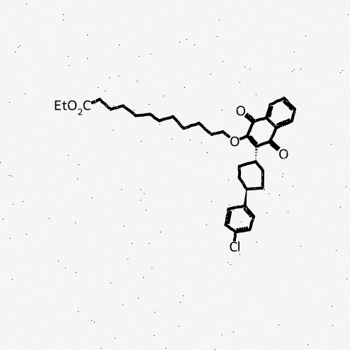 CCOC(=O)CCCCCCCCCCCOC1=C([C@H]2CC[C@H](c3ccc(Cl)cc3)CC2)C(=O)c2ccccc2C1=O